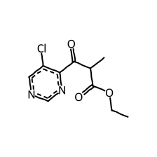 CCOC(=O)C(C)C(=O)c1ncncc1Cl